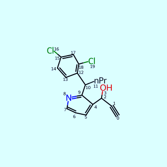 C#CC(O)c1cccnc1C(CCC)c1ccc(Cl)cc1Cl